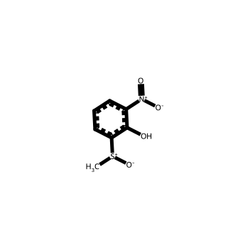 C[S+]([O-])c1cccc([N+](=O)[O-])c1O